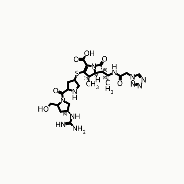 C[C@@H](NC(=O)Cn1cnnn1)[C@H]1C(=O)N2C(C(=O)O)=C(SC3CNC(C(=O)N4C[C@@H](NC(=N)N)CC4CO)C3)[C@H](C)[C@H]12